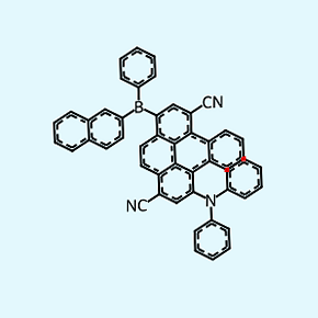 N#Cc1cc(N(c2ccccc2)c2ccccc2)c2c3ccccc3c3c(C#N)cc(B(c4ccccc4)c4ccc5ccccc5c4)c4ccc1c2c43